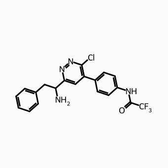 NC(Cc1ccccc1)c1cc(-c2ccc(NC(=O)C(F)(F)F)cc2)c(Cl)nn1